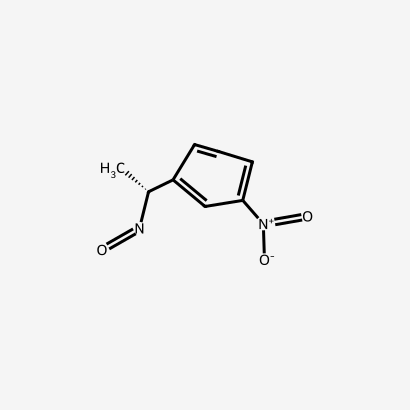 C[C@@H](N=O)c1cccc([N+](=O)[O-])c1